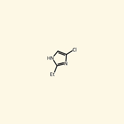 CCc1nc(Cl)c[nH]1